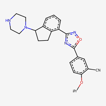 CC(C)Oc1ccc(-c2nc(-c3cccc4c3CCC4N3CCNCC3)no2)cc1C#N